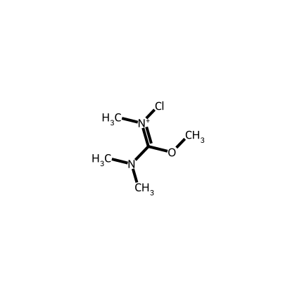 COC(N(C)C)=[N+](C)Cl